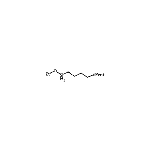 CCCCCCCCC[SiH2]OCC